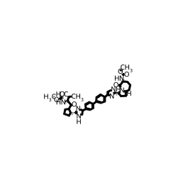 COC(=O)N[C@H]1CCC[C@@H]2CC[C@@H](c3nc(-c4ccc(-c5ccc(C6CNC([C@@H]7CCCC7C(=O)[C@@H](NC(=O)OC)C(C)C)=N6)cc5)cc4)c[nH]3)N2C1=O